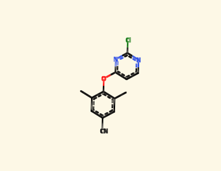 Cc1cc(C#N)cc(C)c1Oc1ccnc(Cl)n1